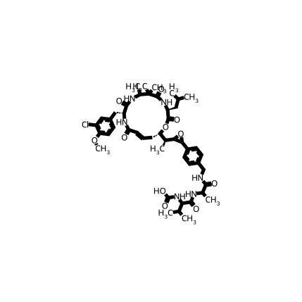 COc1ccc(C[C@H]2NC(=O)/C=C/C[C@@H]([C@H](C)C3OC3c3ccc(CNC(=O)C(C)NC(=O)C(NC(=O)O)C(C)C)cc3)OC(=O)[C@H](CC(C)C)NC(=O)C(C)(C)C(C)NC2=O)cc1Cl